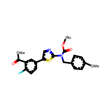 COC(=O)c1cc(-c2cnc(N(Cc3ccc(OC)cc3)C(=O)OC(C)(C)C)s2)ccc1F